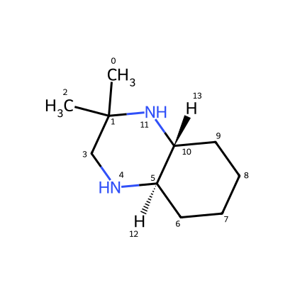 CC1(C)CN[C@@H]2CCCC[C@H]2N1